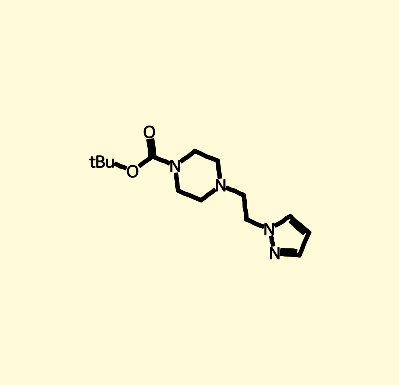 CC(C)(C)OC(=O)N1CCN(CCn2cccn2)CC1